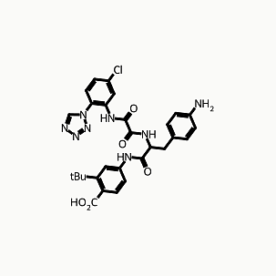 CC(C)(C)c1cc(NC(=O)C(Cc2ccc(N)cc2)NC(=O)C(=O)Nc2cc(Cl)ccc2-n2cnnn2)ccc1C(=O)O